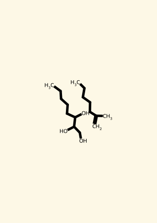 C=C(C)CCCCC.CCCCCC(O)C(O)CO